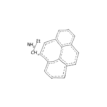 CCC.N.c1cc2ccc3cccc4ccc(c1)c2c34